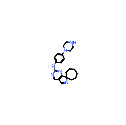 C1=NC2(CCCCCC2)c2nc(Nc3ccc(N4CCNCC4)cc3)ncc21